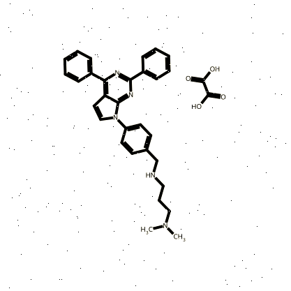 CN(C)CCCNCc1ccc(-n2ccc3c(-c4ccccc4)nc(-c4ccccc4)nc32)cc1.O=C(O)C(=O)O